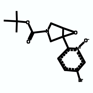 CC(C)(C)OC(=O)N1CC2OC2(c2ccc(Br)c[n+]2[O-])C1